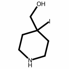 OCC1(I)CCNCC1